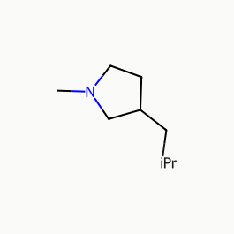 [CH2]C(C)CC1CCN(C)C1